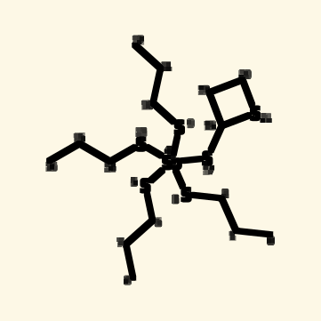 CCC[S][Sb]([S]CCC)([S]CCC)([S]CCC)[S]C1CCS1